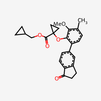 COc1c(C)ccc(-c2ccc3c(c2)CCC3=O)c1OC1(C(=O)OCC2CC2)CC1